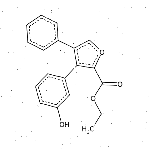 CCOC(=O)c1occ(-c2ccccc2)c1-c1cccc(O)c1